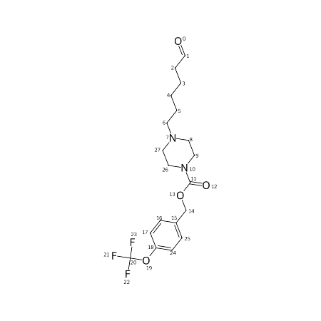 O=CCCCCCN1CCN(C(=O)OCc2ccc(OC(F)(F)F)cc2)CC1